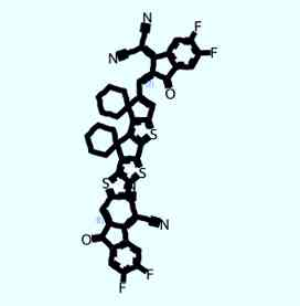 N#CC(C#N)=C1/C(=C/C2=Cc3sc4c(c3C23CCCCC3)C2(CCCCC2)c2c-4sc3cc(/C=C4/C(=O)c5cc(F)c(F)cc5C4=C(C#N)C#N)sc23)C(=O)c2cc(F)c(F)cc21